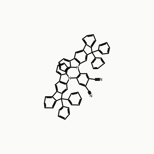 N#Cc1cc(-n2c3ccccc3c3cc4c(cc32)C(c2ccccc2)(c2ccccc2)c2ccccc2-4)c(-n2c3ccccc3c3cc4c(cc32)C(c2ccccc2)(c2ccccc2)c2ccccc2-4)cc1C#N